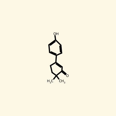 CC1(C)CCC(c2ccc(O)cc2)=CC1=O